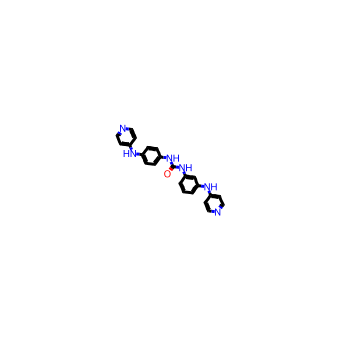 O=C(Nc1ccc(Nc2ccncc2)cc1)Nc1cccc(Nc2ccncc2)c1